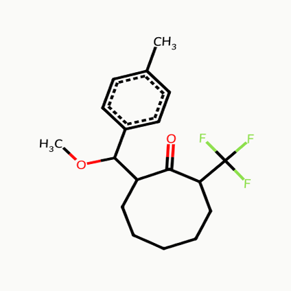 COC(c1ccc(C)cc1)C1CCCCCC(C(F)(F)F)C1=O